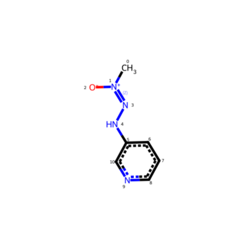 C/[N+]([O-])=N/Nc1cccnc1